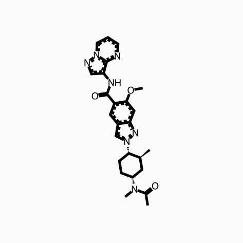 COc1cc2nn([C@H]3CC[C@@H](N(C)C(C)=O)C[C@@H]3C)cc2cc1C(=O)Nc1cnn2cccnc12